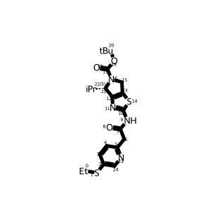 CCSc1ccc(CC(=O)Nc2nc3c(s2)CN(C(=O)OC(C)(C)C)[C@H]3C(C)C)nc1